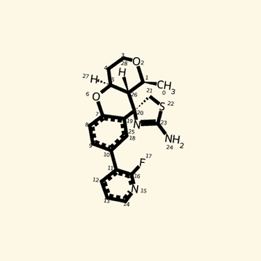 C[C@@H]1OCC[C@@H]2Oc3ccc(-c4cccnc4F)cc3[C@@]3(CSC(N)=N3)[C@@H]12